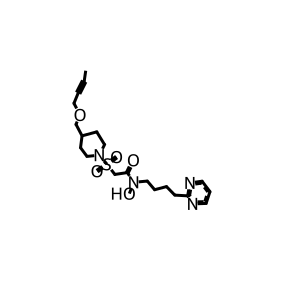 CC#CCOCC1CCN(S(=O)(=O)CC(=O)N(O)CCCCc2ncccn2)CC1